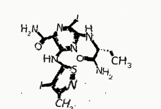 CC[C@@H](Nc1nc(Nc2snc(C)c2I)c(C(N)=O)nc1I)C(N)=O